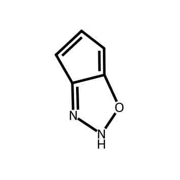 c1cc2n[nH]oc-2c1